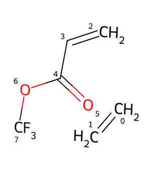 C=C.C=CC(=O)OC(F)(F)F